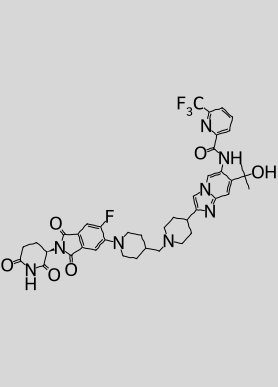 CC(C)(O)c1cc2nc(C3CCN(CC4CCN(c5cc6c(cc5F)C(=O)N([C@@H]5CCC(=O)NC5=O)C6=O)CC4)CC3)cn2cc1NC(=O)c1cccc(C(F)(F)F)n1